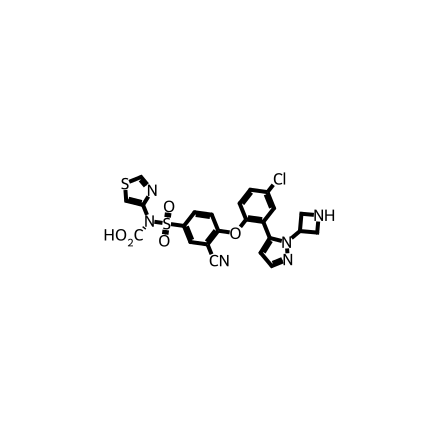 N#Cc1cc(S(=O)(=O)N(C(=O)O)c2cscn2)ccc1Oc1ccc(Cl)cc1-c1ccnn1C1CNC1